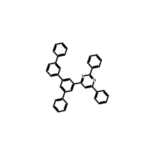 c1ccc(-c2cccc(-c3cc(-c4ccccc4)cc(-c4cc(-c5ccccc5)nc(-c5ccccc5)n4)c3)c2)cc1